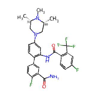 C[C@@H]1CN(c2ccc(-c3ccc(F)c(C(N)=O)c3)c(NC(=O)c3ccc(F)cc3C(F)(F)F)c2)C[C@H](C)N1C